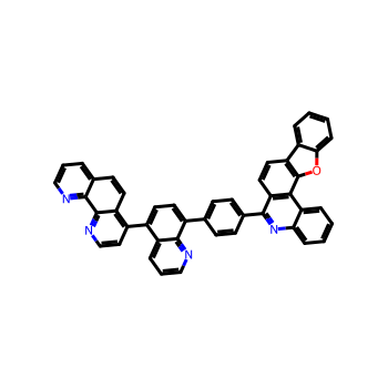 c1cnc2c(c1)ccc1c(-c3ccc(-c4ccc(-c5nc6ccccc6c6c5ccc5c7ccccc7oc56)cc4)c4ncccc34)ccnc12